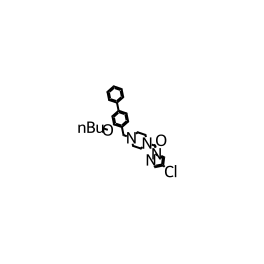 CCCCOc1cc(-c2ccccc2)ccc1CN1CCN(C(=O)n2cc(Cl)cn2)CC1